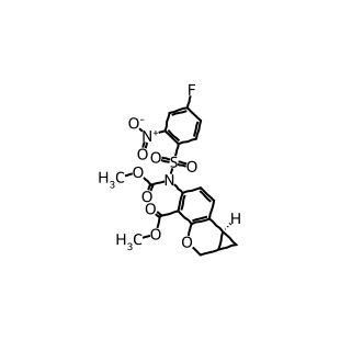 COC(=O)c1c(N(C(=O)OC)S(=O)(=O)c2ccc(F)cc2[N+](=O)[O-])ccc2c1OCC1C[C@H]21